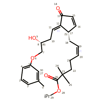 Cc1cccc(OC[C@H](O)C/C=C2/C(=O)C=C[C@@H]2C/C=C\CCC(C)(C)C(=O)OC(C)C)c1